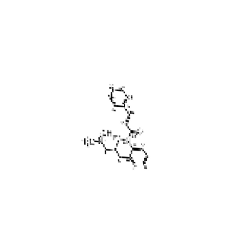 CN(C)CC1Cc2ccccc2N(C(=O)C=Cc2cccnc2)C1